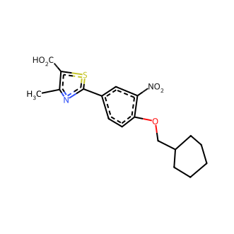 Cc1nc(-c2ccc(OCC3CCCCC3)c([N+](=O)[O-])c2)sc1C(=O)O